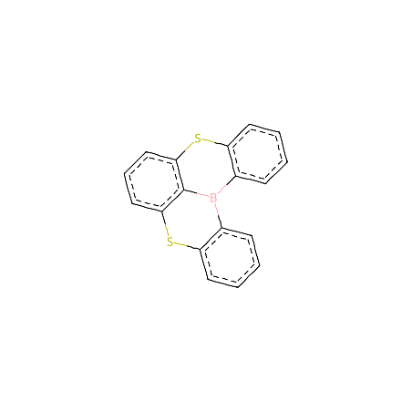 c1ccc2c(c1)Sc1cccc3c1B2c1ccccc1S3